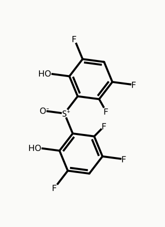 [O-][S+](c1c(O)c(F)cc(F)c1F)c1c(O)c(F)cc(F)c1F